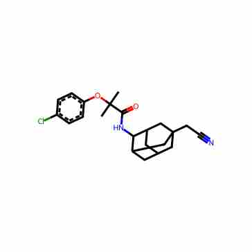 CC(C)(Oc1ccc(Cl)cc1)C(=O)NC1C2CC3CC1CC(CC#N)(C3)C2